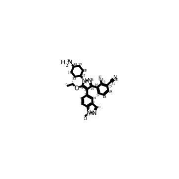 CCOc1c(-c2ccc3c(cnn3C)c2)c(-c2cccc(C#N)c2F)nn1C1CCC(N)CC1